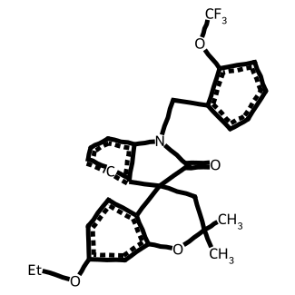 CCOc1ccc2c(c1)OC(C)(C)CC21C(=O)N(Cc2ccccc2OC(F)(F)F)c2ccccc21